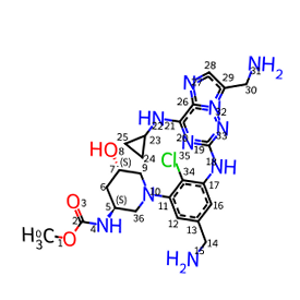 COC(=O)N[C@H]1C[C@H](O)CN(c2cc(CN)cc(Nc3nc(NC4CC4)c4ncc(CN)n4n3)c2Cl)C1